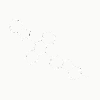 Clc1ccc2c(c1)oc1cc(-c3c4ccccc4c(-c4nc5ccccn5n4)c4ccccc34)ccc12